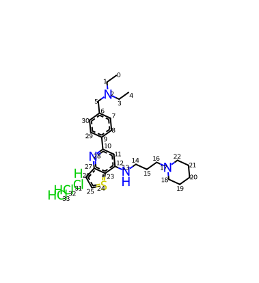 CCN(CC)Cc1ccc(-c2cc(NCCCN3CCCCC3)c3sccc3n2)cc1.Cl.Cl.Cl